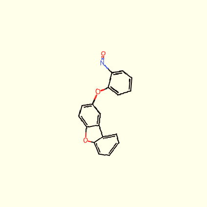 O=Nc1ccccc1Oc1ccc2oc3ccccc3c2c1